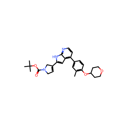 Cc1cc(-c2ccnc3[nH]c(C4=CCN(C(=O)OC(C)(C)C)C4)cc23)ccc1OC1CCOCC1